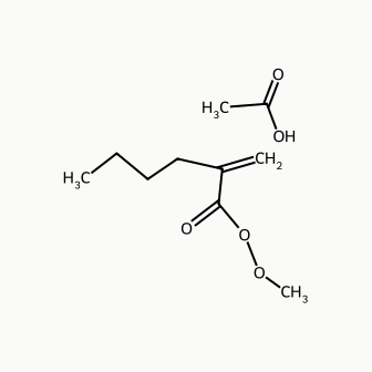 C=C(CCCC)C(=O)OOC.CC(=O)O